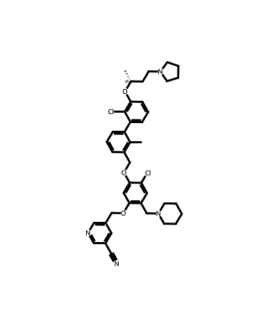 Cc1c(COc2cc(OCc3cncc(C#N)c3)c(CN3CCCCC3)cc2Cl)cccc1-c1cccc(O[C@H](C)CCN2CCCC2)c1Cl